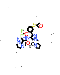 CN1CCC[C@@H]1Cn1cc(NC(=O)c2cnn3cccnc23)c(-c2cc(SC3COC3)ccc2OC(F)F)n1